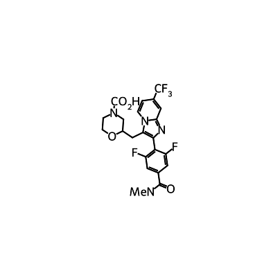 CNC(=O)c1cc(F)c(-c2nc3cc(C(F)(F)F)ccn3c2CC2CN(C(=O)O)CCO2)c(F)c1